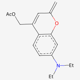 C=C1C=C(COC(C)=O)c2ccc(N(CC)CC)cc2O1